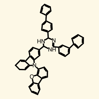 C1=c2c(n(-c3cccc4c3oc3ccccc34)c3cc(C4NC(c5cccc(-c6ccccc6)c5)=NC(c5ccc(-c6ccccc6)cc5)N4)ccc23)=CCC1